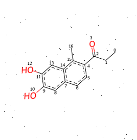 CCC(=O)c1ccc2cc(O)c(O)cc2c1C